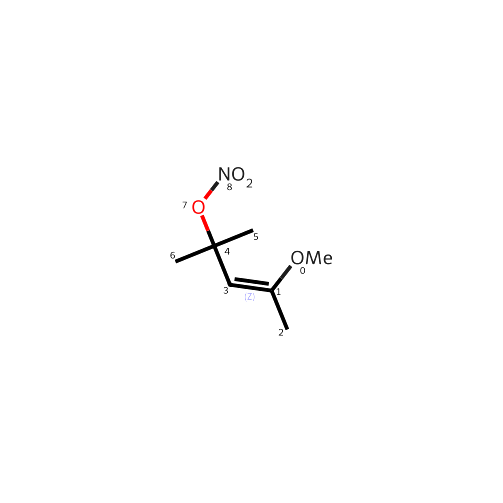 CO/C(C)=C\C(C)(C)O[N+](=O)[O-]